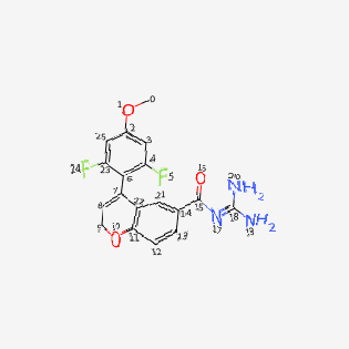 COc1cc(F)c(C2=CCOc3ccc(C(=O)N=C(N)N)cc32)c(F)c1